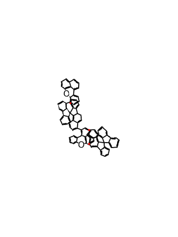 C1=c2c(-c3ccc4c(-c5cccc6c5C5(c7ccccc7-6)c6ccccc6-c6ccc7ccccc7c65)ccc5c4c3-c3ccccc3O5)cccc2=C2C(C1)c1ccccc1C21c2ccccc2-c2cccc(-c3cccc4c3Oc3cccc5cccc-4c35)c21